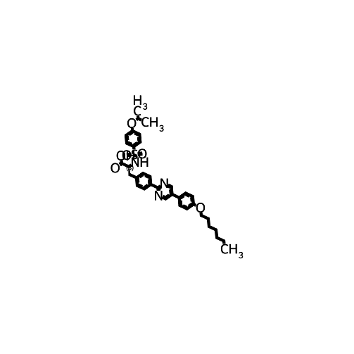 CCCCCCCOc1ccc(-c2cnc(-c3ccc(C[C@H](NS(=O)(=O)c4ccc(OC(C)C)cc4)C(=O)O)cc3)nc2)cc1